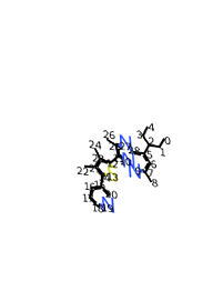 CCC(CC)c1cc(C)nn2c(-c3sc(-c4cccnc4)c(C)c3C)c(C)nc12